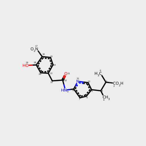 CC(C(=O)O)C(C)c1ccc(NC(=O)Cc2ccc([N+](=O)[O-])c(O)c2)nc1